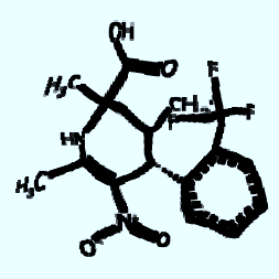 [CH2]C1[C@H](c2ccccc2C(F)(F)F)C([N+](=O)[O-])=C(C)NC1(C)C(=O)O